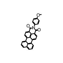 COc1ccc(N2C(=O)c3ccc4c5cccc6cccc(c7ccc(c3c47)C2=O)c65)cc1